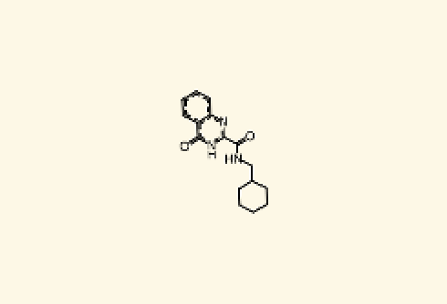 O=C(NCC1CCCCC1)c1nc2ccccc2c(=O)[nH]1